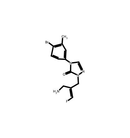 Cc1cc(-n2cnn(C/C(=C/F)CN)c2=O)ccc1Br